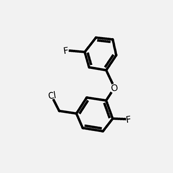 Fc1cccc(Oc2cc(CCl)ccc2F)c1